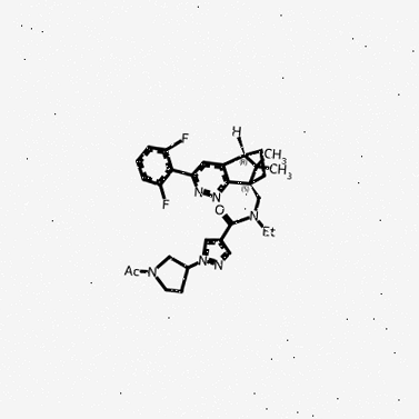 CCN(C[C@@]12CC[C@@H](c3cc(-c4c(F)cccc4F)nnc31)C2(C)C)C(=O)c1cnn(C2CCN(C(C)=O)C2)c1